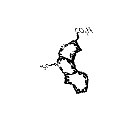 Cn1c2ccccc2c2cc(C(=O)O)sc21